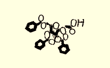 O=C(O)COC1O[C@H](COC(=O)c2ccccc2)[C@@H](OC(=O)c2ccccc2)[C@H]1OC(=O)c1ccccc1